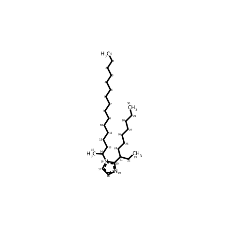 CCCCCCCCCCCCCCC(C)n1ccnc1C(CC)CCCCCCC